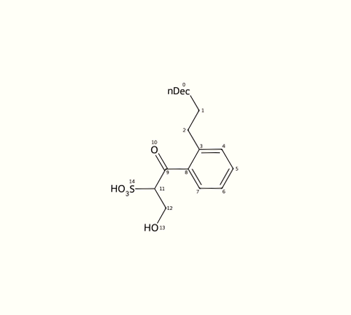 CCCCCCCCCCCCc1ccccc1C(=O)C(CO)S(=O)(=O)O